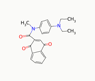 CCN(CC)c1ccc(N(C)C(=O)C2=CC(=O)c3ccccc3C2=O)cc1